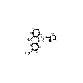 Cc1ccc(C(CBc2ncc[nH]2)c2ccccc2C)cc1